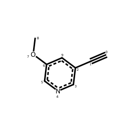 C#Cc1cncc(OC)c1